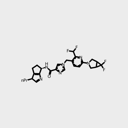 CCCC1C=NC2=C1CC[C@H]2NC(=O)c1cn(Cc2ccc(N3CC4C(C3)C4(F)F)nc2C(F)F)cn1